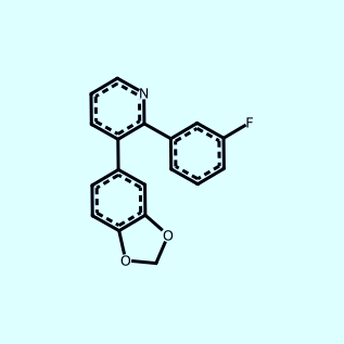 Fc1cccc(-c2ncccc2-c2ccc3c(c2)OCO3)c1